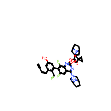 C#C/C=C\c1cc(O)cc(-c2c(F)cc3c(N4CC5CCC(C4)N5)nc(OCC4(CN5C6CCC5CC(C(=O)OC)C6)CC4)nc3c2F)c1CF